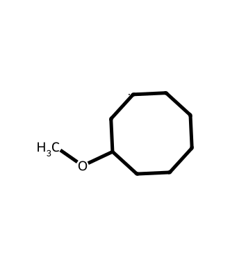 COC1C[CH]CCCCC1